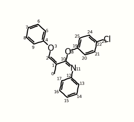 CC(=COc1ccccc1)C(=Nc1ccccc1)Oc1ccc(Cl)cc1